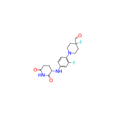 O=CC1(F)CCN(c2ccc(NC3CCC(=O)NC3=O)cc2F)CC1